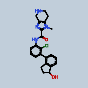 Cn1c(C(=O)Nc2cccc(-c3cccc4c3CCC4O)c2Cl)nc2c1CCNC2